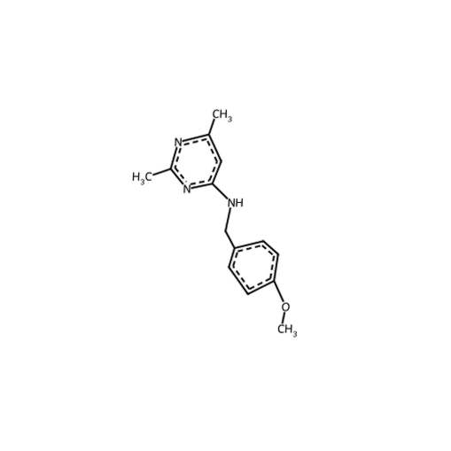 COc1ccc(CNc2cc(C)nc(C)n2)cc1